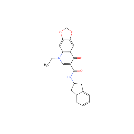 CCn1cc(C(=O)NC2Cc3ccccc3C2)c(=O)c2cc3c(cc21)OCO3